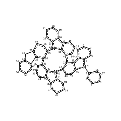 c1ccc(-n2c3ccccc3c3c4c5cccc6c7ccccc7n(c7ccc8c(c7c7cccc9c%10ccccc%10n(c4ccc32)c97)-c2ccccc2C8)c65)cc1